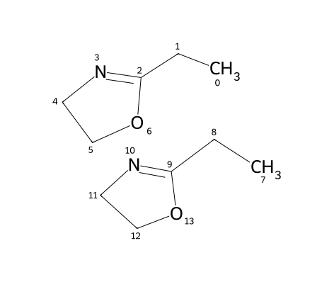 CCC1=NCCO1.CCC1=NCCO1